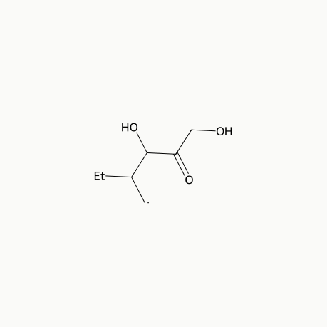 [CH2]C(CC)C(O)C(=O)CO